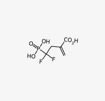 C=C(CC(F)(F)P(=O)(O)O)C(=O)O